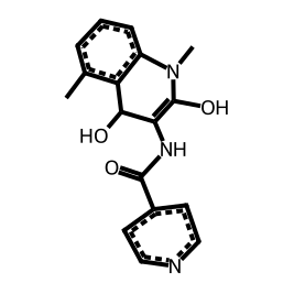 Cc1cccc2c1C(O)C(NC(=O)c1ccncc1)=C(O)N2C